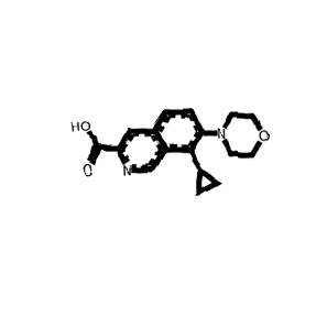 O=C(O)c1cc2ccc(N3CCOCC3)c(C3CC3)c2cn1